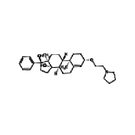 C[C@]12CC[C@H]3[C@@H](CCC4=C[C@@H](OCCN5CCCC5)CC[C@@]43C)[C@@]1(O)CC[C@]2(O)c1ccccc1